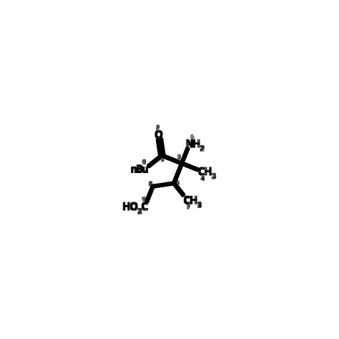 CCCCC(=O)C(C)(N)C(C)CC(=O)O